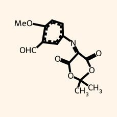 COc1ccc(N=C2C(=O)OC(C)(C)OC2=O)cc1C=O